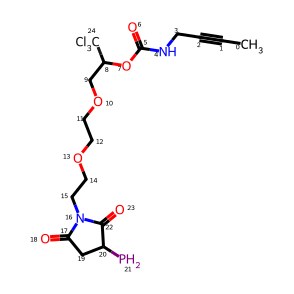 CC#CCNC(=O)OC(COCCOCCN1C(=O)CC(P)C1=O)C(Cl)(Cl)Cl